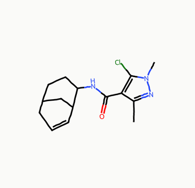 Cc1nn(C)c(Cl)c1C(=O)NC1CCC2CC=CC1C2